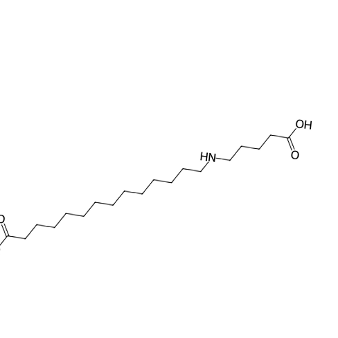 O=C(O)CCCCCCCCCCCCCNCCCCC(=O)O